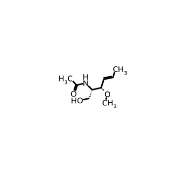 C/C=C/[C@H](OC)[C@H](CO)NC(C)=O